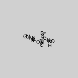 CC(=O)N1CCN(c2ncc(-c3ccc4c(=O)n(C)n(Cc5cc(Cn6ccc(=O)[nH]6)ccc5OC(F)F)c4c3)cn2)CC1C